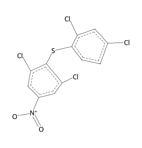 O=[N+]([O-])c1cc(Cl)c(Sc2ccc(Cl)cc2Cl)c(Cl)c1